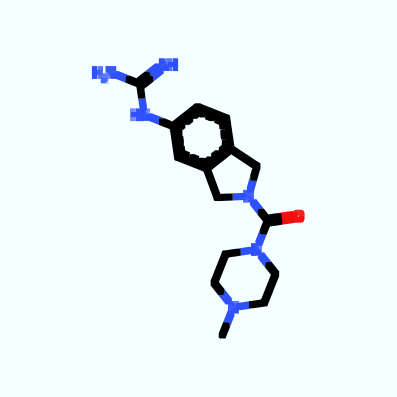 CN1CCN(C(=O)N2Cc3ccc(NC(=N)N)cc3C2)CC1